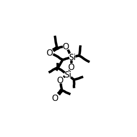 CC(=O)O[Si](O[Si](OC(C)=O)(C(C)C)C(C)C)(C(C)C)C(C)C